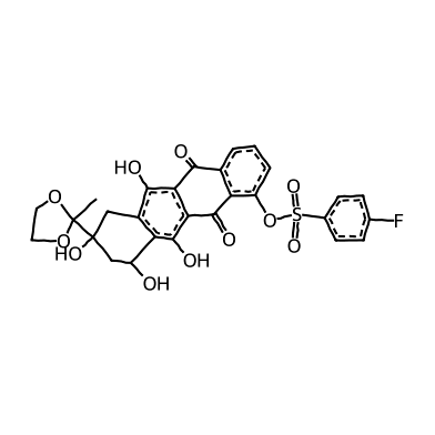 CC1(C2(O)Cc3c(O)c4c(c(O)c3C(O)C2)C(=O)c2c(OS(=O)(=O)c3ccc(F)cc3)cccc2C4=O)OCCO1